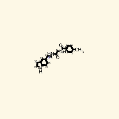 Cc1ccc(C(=O)NCC(=O)N/N=C/c2ccc3[nH]ccc3c2)cc1